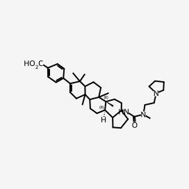 CN(CCN1CCCC1)C(=O)NC12CCCC1[C@H]1CCC3C4(C)CC=C(c5ccc(C(=O)O)cc5)C(C)(C)C4CCC3(C)[C@]1(C)CC2